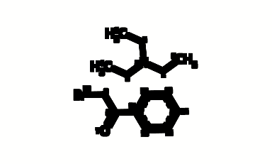 CCN(CC)CC.O=C(CBr)c1ccccc1